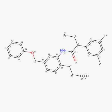 Cc1cc(C)cc(C(CC(C)C)C(=O)Nc2cc(COc3ccccc3)ccc2CCC(=O)O)c1